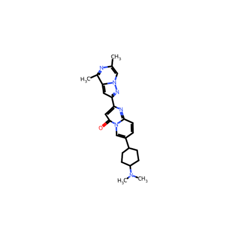 Cc1cn2nc(-c3cc(=O)n4cc(C5CCC(N(C)C)CC5)ccc4n3)cc2c(C)n1